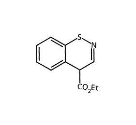 CCOC(=O)C1C=NSc2ccccc21